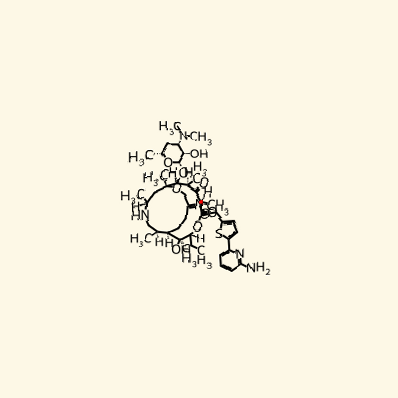 CC[C@H]1OC(=O)[C@H](C)C(=O)[C@H](C)[C@@H](O[C@@H]2O[C@H](C)C[C@H](N(C)C)[C@H]2O)[C@@]2(C)C[C@@H](C)NC[C@H](C)[C@@H](CC/C(=N\OCc3ccc(-c4cccc(N)n4)s3)CO2)[C@]1(C)O